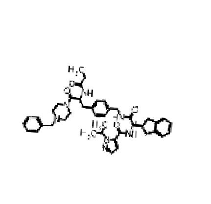 CCC(=O)NC(Cc1ccc(CNC(=O)[C@@H](NC(=O)c2ccnn2C(C)C)C2Cc3ccccc3C2)cc1)C(=O)N1CCN(Cc2ccccc2)CC1